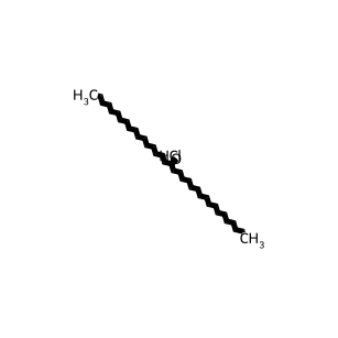 CCCCCCCCCCCCCCCCCC(=O)CCCCCCCCCCCCCCCCC.Cl